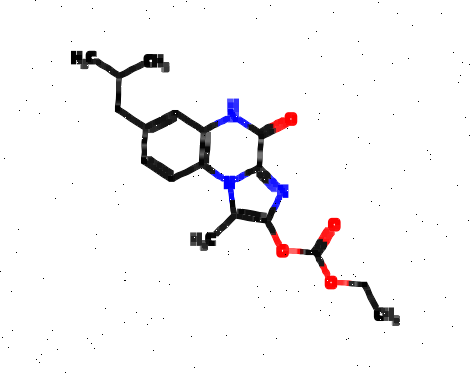 CCOC(=O)Oc1nc2c(=O)[nH]c3cc(CC(C)C)ccc3n2c1C